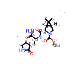 CC(C)(C)OC(=O)N1C[C@H]2[C@@H]([C@H]1C(=O)N[C@@H](C[C@H]1CCNC1=O)C(N)=O)C2(C)C